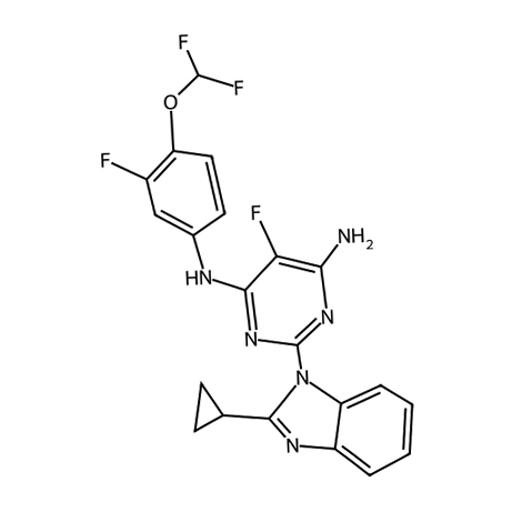 Nc1nc(-n2c(C3CC3)nc3ccccc32)nc(Nc2ccc(OC(F)F)c(F)c2)c1F